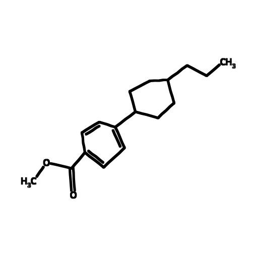 CCCC1CCC(c2ccc(C(=O)OC)cc2)CC1